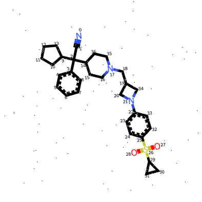 N#CC(c1ccccc1)(C1CCCC1)C1CCN(CC2CN(c3ccc(S(=O)(=O)C4CC4)cc3)C2)CC1